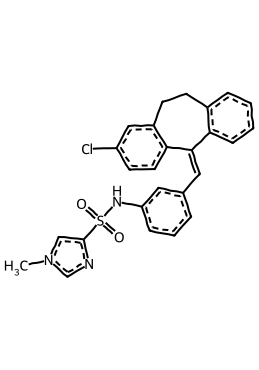 Cn1cnc(S(=O)(=O)Nc2cccc(C=C3c4ccccc4CCc4cc(Cl)ccc43)c2)c1